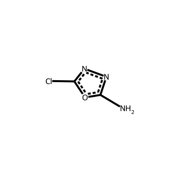 Nc1nnc(Cl)o1